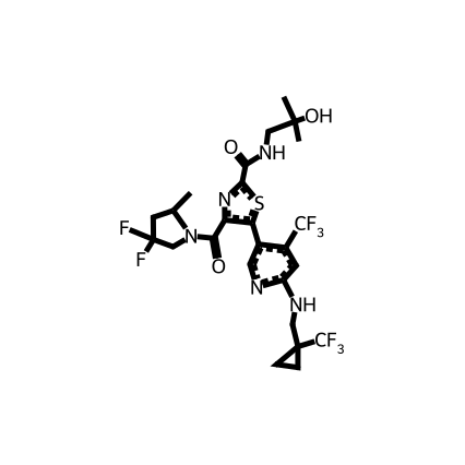 CC1CC(F)(F)CN1C(=O)c1nc(C(=O)NCC(C)(C)O)sc1-c1cnc(NCC2(C(F)(F)F)CC2)cc1C(F)(F)F